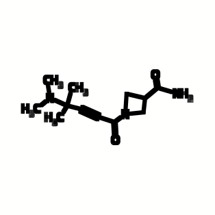 CN(C)C(C)(C)C#CC(=O)N1CC(C(N)=O)C1